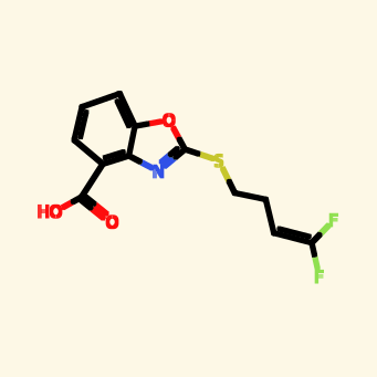 O=C(O)c1cccc2oc(SCCC=C(F)F)nc12